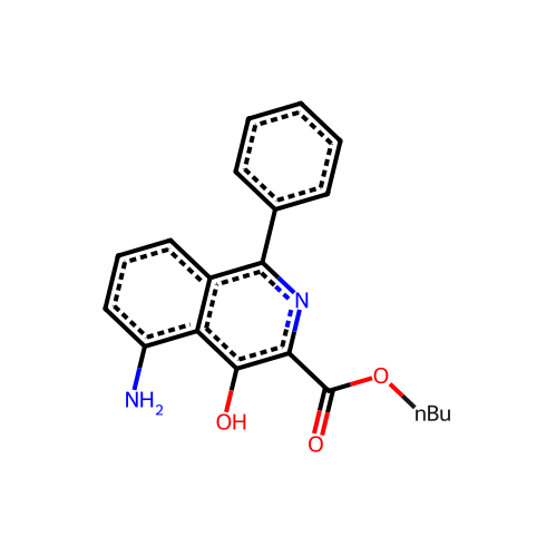 CCCCOC(=O)c1nc(-c2ccccc2)c2cccc(N)c2c1O